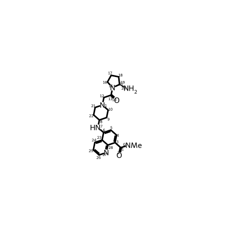 CNC(=O)c1ccc(NC2CCN(CC(=O)N3CCC[C@H]3N)CC2)c2cccnc12